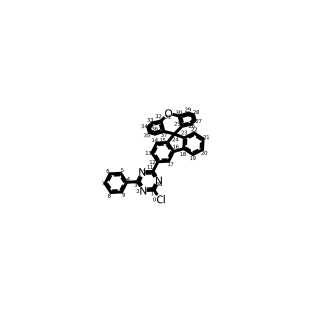 Clc1nc(-c2ccccc2)nc(-c2ccc3c(c2)-c2ccccc2C32c3ccccc3Oc3ccccc32)n1